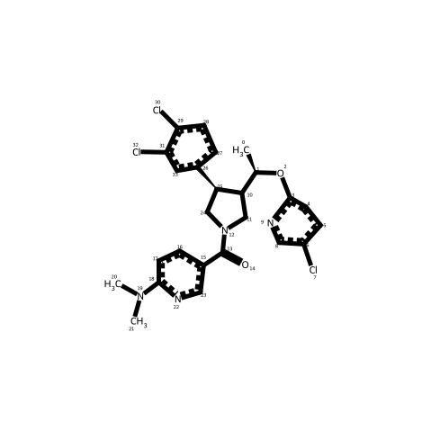 C[C@@H](Oc1ccc(Cl)cn1)C1CN(C(=O)c2ccc(N(C)C)nc2)C[C@H]1c1ccc(Cl)c(Cl)c1